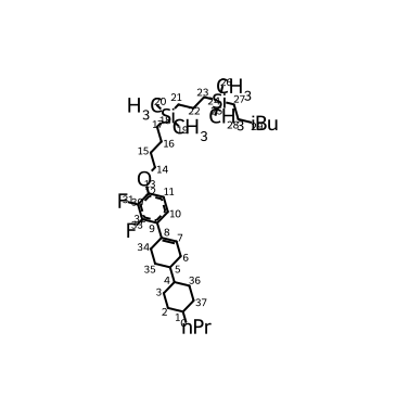 CCCC1CCC(C2CC=C(c3ccc(OCCCC[Si](C)(C)CCC[Si](C)(C)CCC(C)CC)c(F)c3F)CC2)CC1